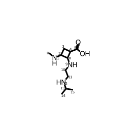 CNC1CC(C(=O)O)C1NCCNC(C)C